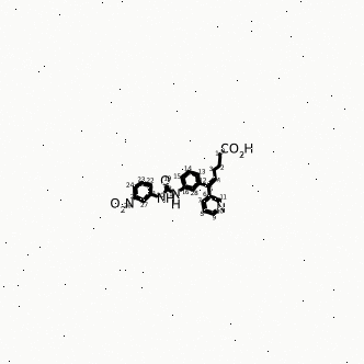 O=C(O)CCCC=C(c1cccnc1)c1cccc(NC(=O)Nc2cccc([N+](=O)[O-])c2)c1